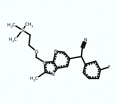 Cc1nc2cc(C(C#N)c3cccc(F)c3)cnc2n1COCC[Si](C)(C)C